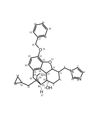 O[C@@]12CCC(Cn3ccnc3)C3Oc4c(OCc5ccccc5)ccc5c4[C@@]31CCN(CC1CC1)[C@@H]2C5